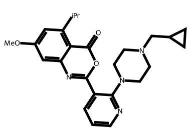 COc1cc(C(C)C)c2c(=O)oc(-c3cccnc3N3CCN(CC4CC4)CC3)nc2c1